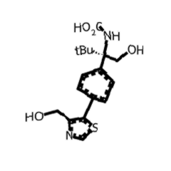 CC(C)(C)[C@@](CO)(NC(=O)O)c1ccc(-c2scnc2CO)cc1